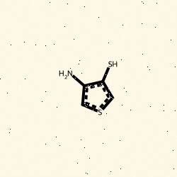 Nc1cscc1S